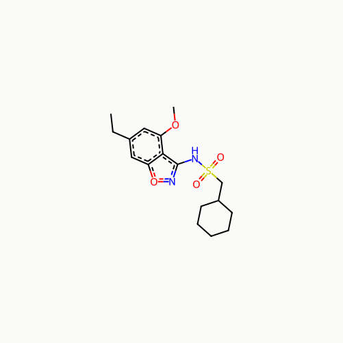 CCc1cc(OC)c2c(NS(=O)(=O)CC3CCCCC3)noc2c1